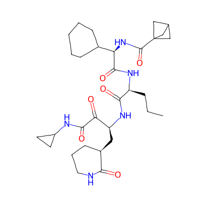 CCC[C@H](NC(=O)[C@H](NC(=O)C12CC(C1)C2)C1CCCCC1)C(=O)N[C@@H](C[C@@H]1CCCNC1=O)C(=O)C(=O)NC1CC1